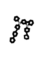 C1=CCCC(c2ccc(-n3c4ccccc4c4ccc(N(c5ccccc5)c5ccc(-c6ccc(-c7ccccc7)cc6)cc5)cc43)cc2)=C1